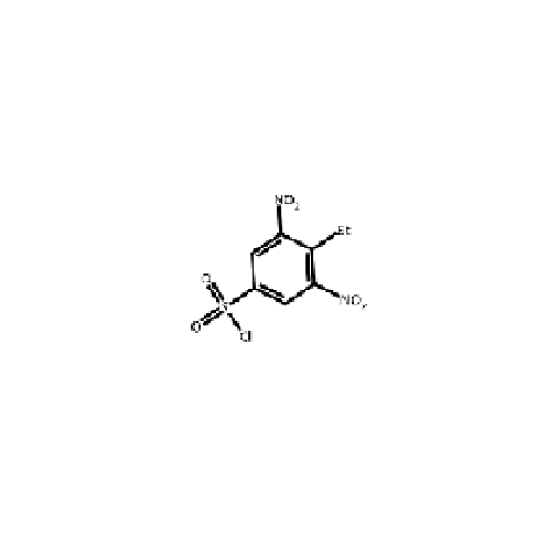 CCc1c([N+](=O)[O-])cc(S(=O)(=O)Cl)cc1[N+](=O)[O-]